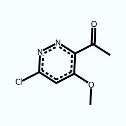 COc1cc(Cl)nnc1C(C)=O